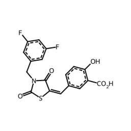 O=C(O)c1cc(C=C2SC(=O)N(Cc3cc(F)cc(F)c3)C2=O)ccc1O